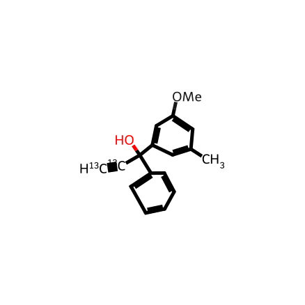 COc1cc(C)cc(C(O)([13C]#[13CH])c2ccccc2)c1